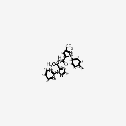 CC(NC(=O)c1cc(C(F)(F)F)nn1-c1ccc(F)cc1)c1ncnn1-c1ncccn1